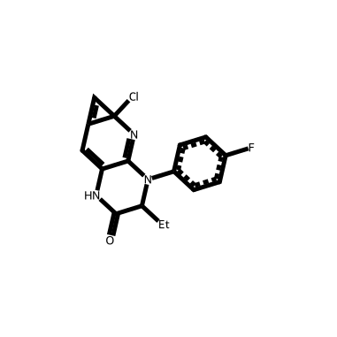 CCC1C(=O)NC2=CC3=CC3(Cl)N=C2N1c1ccc(F)cc1